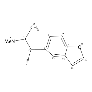 CNC(C)C(F)c1ccc2occc2c1